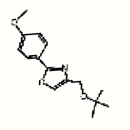 COc1ccc(-c2nc(COC(C)(C)C)co2)cc1